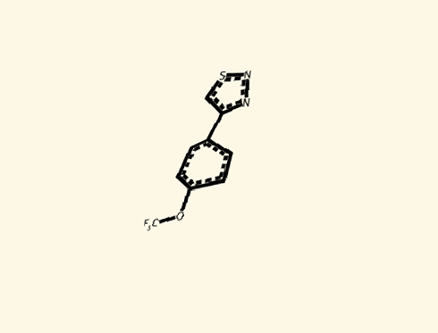 FC(F)(F)Oc1ccc(-c2csnn2)cc1